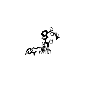 CC(C)C1CN(C)CCN1CCCNc1ncc(Cl)c(-c2cc3c(C(=O)ONC4CC4)cccc3s2)n1.Cl.Cl.Cl